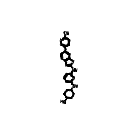 N#Cc1ccc(-c2ccc3nc(Nc4cccc(N[C@H]5CC[C@H](O)CC5)n4)sc3c2)cn1